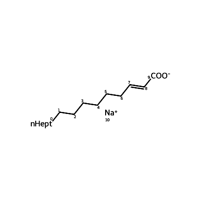 CCCCCCCCCCCCCC=CC(=O)[O-].[Na+]